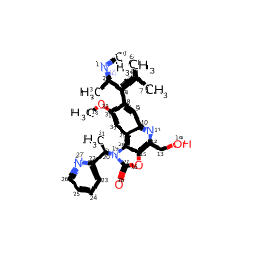 C/N=C(/C)C(=C(C)C)c1cc2nc(CO)c3oc(=O)n([C@H](C)c4ccccn4)c3c2cc1OC